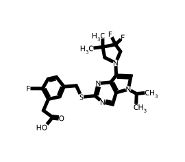 CC(C)n1cc(N2CC(C)(C)C(F)(F)C2)c2nc(SCc3ccc(F)c(CC(=O)O)c3)ncc21